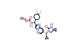 CC(C)(C)OC(=O)N[C@H](c1cn2ncc([C@@H](C3CC3)N3CC4(CC4)NC3=O)cc2n1)C1CCC(F)(F)CC1